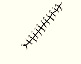 O=C(F)C(F)(F)C(F)(F)C(F)(F)C(F)(F)C(F)(F)C(F)(F)C(F)(F)C(F)(F)C(F)(F)C(F)(F)C(F)(F)F